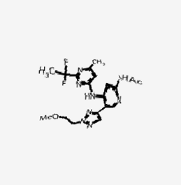 COCCn1ncc(-c2cnc(NC(C)=O)cc2Nc2cc(C)nc(C(C)(F)F)n2)n1